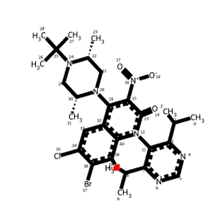 CC(C)c1ncnc(C(C)C)c1-n1c(=O)c([N+](=O)[O-])c(N2C[C@@H](C)N(C(C)(C)C)C[C@H]2C)c2cc(Cl)c(Br)c(F)c21